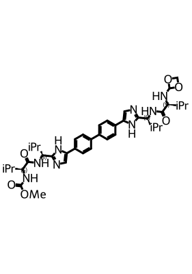 COC(=O)N[C@H](C(=O)N[C@H](c1ncc(-c2ccc(-c3ccc(-c4cnc([C@@H](NC(=O)[C@@H](NC5OCO5)C(C)C)C(C)C)[nH]4)cc3)cc2)[nH]1)C(C)C)C(C)C